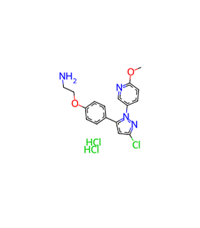 COc1ccc(-n2nc(Cl)cc2-c2ccc(OCCN)cc2)cn1.Cl.Cl